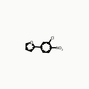 O=[N+]([O-])c1ccc(-c2ccco2)cc1Cl